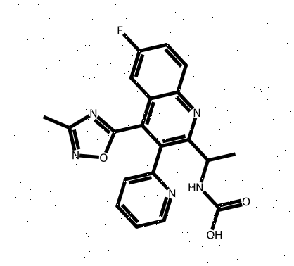 Cc1noc(-c2c(-c3ccccn3)c(C(C)NC(=O)O)nc3ccc(F)cc23)n1